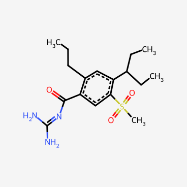 CCCc1cc(C(CC)CC)c(S(C)(=O)=O)cc1C(=O)N=C(N)N